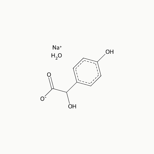 O.O=C([O-])C(O)c1ccc(O)cc1.[Na+]